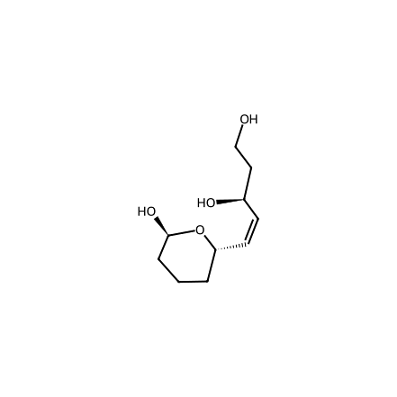 OCC[C@H](O)/C=C\[C@@H]1CCC[C@@H](O)O1